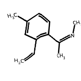 C=Cc1cc(C)ccc1/C(C)=N\C